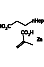 C=C(C)C(=O)O.CCCCCCCCCC(=O)O.[Zn]